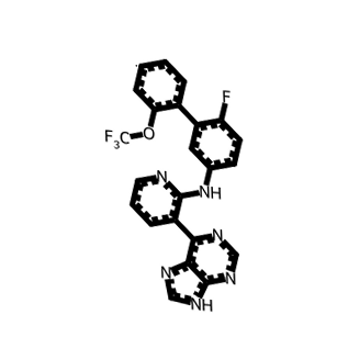 Fc1ccc(Nc2ncccc2-c2ncnc3[nH]cnc23)cc1-c1cc[c]cc1OC(F)(F)F